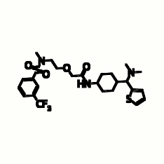 CN(C)C(c1cccs1)C1CCC(NC(=O)COCCN(C)S(=O)(=O)c2cccc(C(F)(F)F)c2)CC1